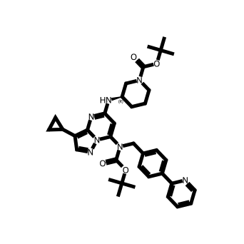 CC(C)(C)OC(=O)N1CCC[C@@H](Nc2cc(N(Cc3ccc(-c4ccccn4)cc3)C(=O)OC(C)(C)C)n3ncc(C4CC4)c3n2)C1